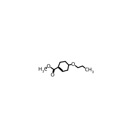 CCCOC1CC=C(C(=O)OC)CC1